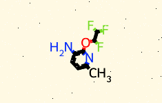 Cc1ccc(N)c(OC(F)C(F)F)n1